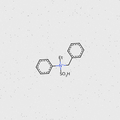 CC[N+](Cc1ccccc1)(c1ccccc1)S(=O)(=O)O